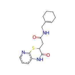 O=C(CC1Sc2ncccc2NC1=O)NCC1=CCCCC1